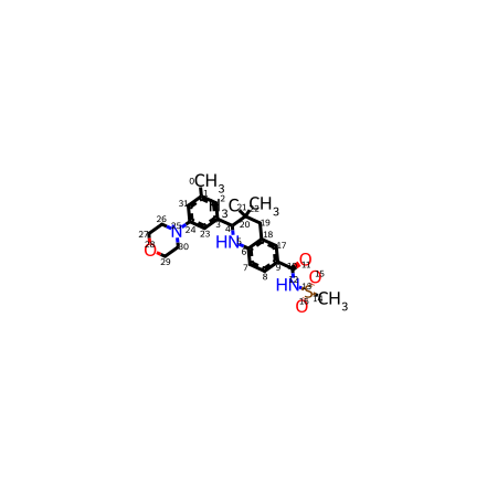 Cc1cc(C2Nc3ccc(C(=O)NS(C)(=O)=O)cc3CC2(C)C)cc(N2CCOCC2)c1